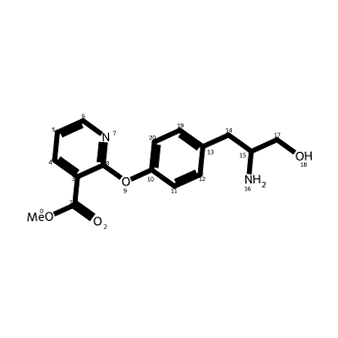 COC(=O)c1cccnc1Oc1ccc(CC(N)CO)cc1